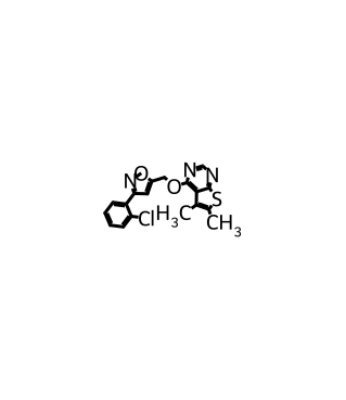 Cc1sc2ncnc(OCc3cc(-c4ccccc4Cl)no3)c2c1C